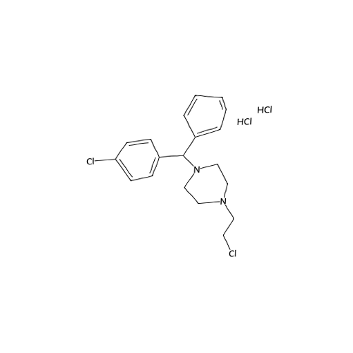 Cl.Cl.ClCCN1CCN(C(c2ccccc2)c2ccc(Cl)cc2)CC1